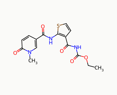 CCOC(=O)NC(=O)c1ccsc1NC(=O)c1ccc(=O)n(C)c1